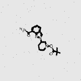 CC(C)(C)C(=O)ON1CCCC(n2cc3cccc(C(N)=O)c3n2)C1